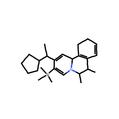 CC(C1=CC2C3=C(C=CCC3)C(C)C(C)N2C=C1[Si](C)(C)C)C1CCCC1